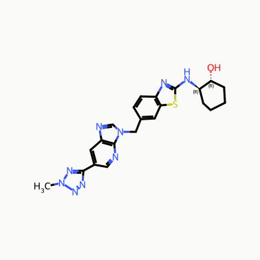 Cn1nnc(-c2cnc3c(c2)ncn3Cc2ccc3nc(N[C@@H]4CCCC[C@H]4O)sc3c2)n1